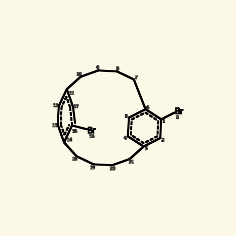 Brc1cc2ccc1CCCCc1ccc(c(Br)c1)CCCC2